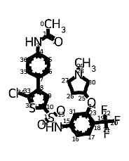 CC(=O)Nc1ccc(-c2cc(S(=O)(=O)Nc3ccc(C(F)(F)F)c(OC4CCN(C)C4)c3)sc2Cl)cc1